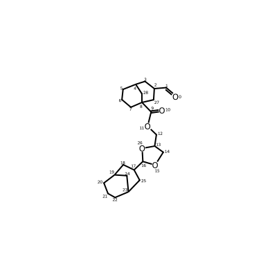 O=CC1CC2CCCC(C(=O)OCC3COC(C4CC5CCCC(C5)C4)O3)(C1)C2